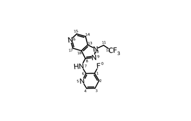 Fc1cccnc1Nc1nn(CC(F)(F)F)c2ccncc12